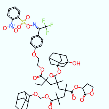 CCC(C)(CC(C)(CC(C)(CC(C)(C)C(=O)OCOC1C2CC3CC(C2)CC1C3)C(=O)OC1CCOC1=O)C(=O)OC12CC3CC(CC(O)(C3)C1)C2)C(=O)OCCOc1ccc(/C(=N\OS(=O)(=O)c2ccccc2[N+](=O)[O-])C(F)(F)F)cc1